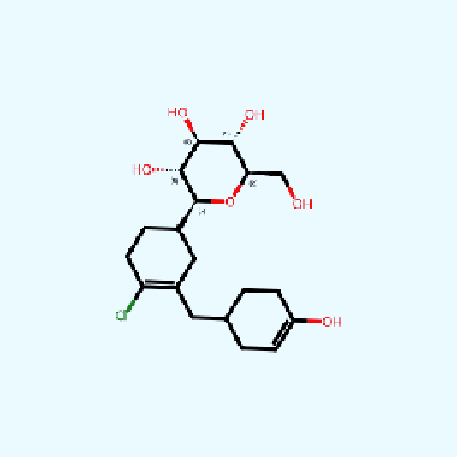 OC[C@H]1O[C@@H](C2CCC(Cl)=C(CC3CC=C(O)CC3)C2)[C@H](O)[C@@H](O)[C@@H]1O